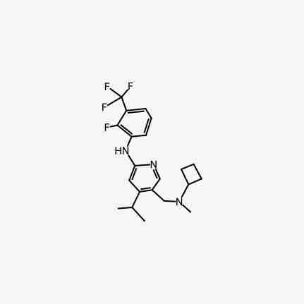 CC(C)c1cc(Nc2cccc(C(F)(F)F)c2F)ncc1CN(C)C1CCC1